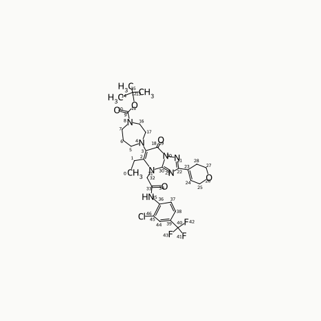 CCc1c(N2CCCN(C(=O)OC(C)(C)C)CC2)c(=O)n2nc(C3=CCOCC3)nc2n1CC(=O)Nc1ccc(C(F)(F)F)cc1Cl